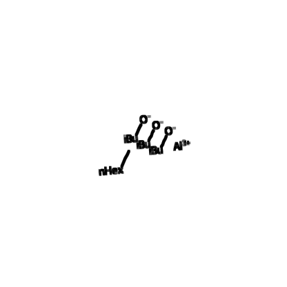 CCC(C)[O-].CCC(C)[O-].CCC(C)[O-].CCCCCCC.[Al+3]